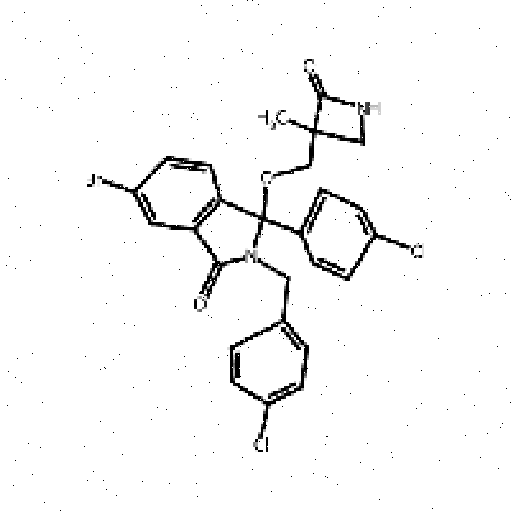 CC1(COC2(c3ccc(Cl)cc3)c3ccc(Br)cc3C(=O)N2Cc2ccc(Cl)cc2)CNC1=O